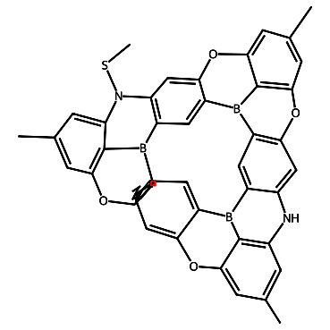 CSN1c2cc3c(cc2B2c4ccccc4Oc4cc(C)cc1c42)B1c2cc4c(cc2Oc2cc(C)cc(c21)O3)Nc1cc(C)cc2c1B4c1ccccc1O2